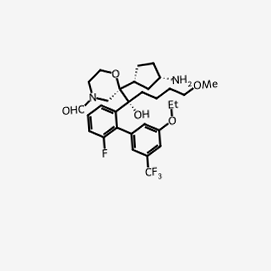 CCOc1cc(-c2c(F)cccc2[C@](O)(CCCCOC)[C@@]2([C@@H]3CC[C@H](N)C3)CN(C=O)CCO2)cc(C(F)(F)F)c1